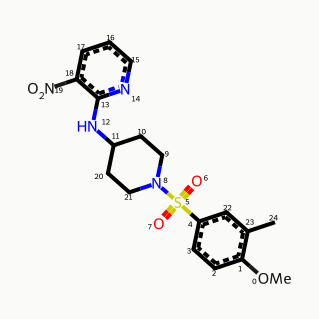 COc1ccc(S(=O)(=O)N2CCC(Nc3ncccc3[N+](=O)[O-])CC2)cc1C